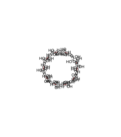 OCC1O[C@@H]2OO[C@@H]3C(CO)O[C@H](OO[C@@H]4C(CO)O[C@H](OO[C@@H]5C(CO)O[C@H](OO[C@@H]6C(CO)O[C@H](OO[C@@H]7C(CO)O[C@H](OO[C@@H]8C(CO)O[C@H](OO[C@@H]9C(CO)O[C@@H](OO[C@@H]%10C(CO)O[C@H](OO[C@@H]%11C(CO)O[C@H](OO[C@H]1C(O)[C@@H]2O)C(O)[C@H]%11O)C(O)[C@H]%10O)C(O)[C@H]9O)C(O)[C@H]8O)C(O)[C@H]7O)[C@@H](O)C6O)[C@@H](O)C5O)[C@@H](O)C4O)[C@@H](O)C3O